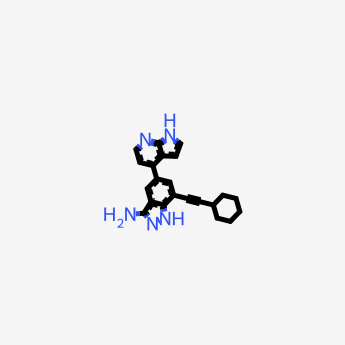 Nc1n[nH]c2c(C#CC3CCCCC3)cc(-c3ccnc4[nH]ccc34)cc12